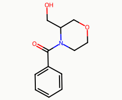 O=C(c1ccccc1)N1CCOCC1CO